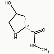 CNC(=O)[C@H]1CC(O)CN1